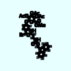 COC(=O)[C@H]1O[C@@H](Oc2ccc(CBr)c(NC(=O)CCNC(=O)OCC3c4ccccc4-c4ccccc43)c2)[C@H](OC(C)=O)[C@@H](OC(C)=O)[C@@H]1OC(C)=O